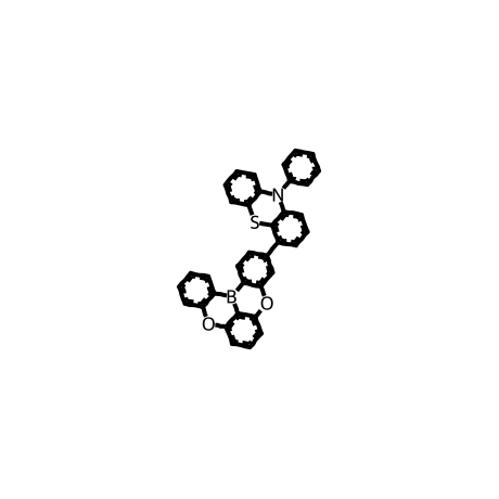 c1ccc(N2c3ccccc3Sc3c(-c4ccc5c(c4)Oc4cccc6c4B5c4ccccc4O6)cccc32)cc1